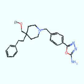 CCOCC1(CCc2ccccc2)CCN(Cc2ccc(-c3nnc(N)o3)cc2)CC1